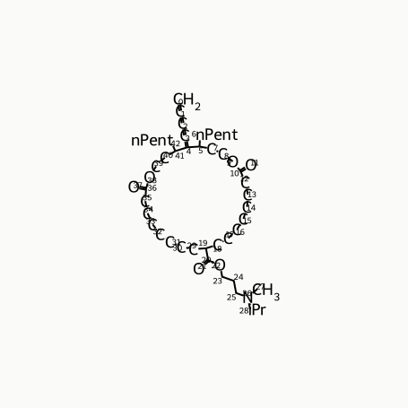 C=C=C=C=C1C(CCCCC)CCOC(=O)CCCCCCCC(C(=O)OCCCN(C)C(C)C)CCCCCCCC(=O)OCCC1CCCCC